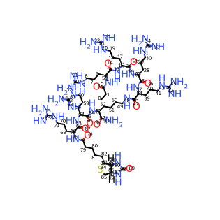 CCC(=O)N[C@@H](CCCNC(=N)N)C(=O)N[C@@H](CCCNC(=N)N)C(=O)N[C@@H](CCCNC(=N)N)C(=O)N[C@@H](CCCNC(=N)N)C(=O)NCCCC[C@H](NC(=O)[C@H](CCCNC(=N)N)NC(=O)[C@H](CCCNC(=N)N)NC(=O)CCCC[C@@H]1SC[C@@H]2NC(=O)N[C@@H]21)C(N)=O